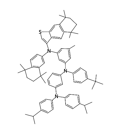 Cc1cc(N(c2ccc(C(C)(C)C)cc2)c2cccc(N(c3ccc(C(C)C)cc3)c3ccc(C(C)C)cc3)c2)cc(N(c2ccc3c(c2)C(C)(C)CCC3(C)C)c2csc3cc4c(cc23)C(C)(C)CCC4(C)C)c1